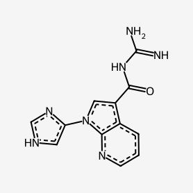 N=C(N)NC(=O)c1cn(-c2c[nH]cn2)c2ncccc12